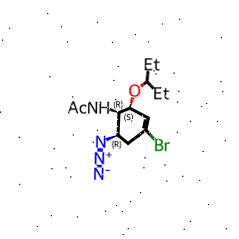 CCC(CC)O[C@H]1C=C(Br)C[C@@H](N=[N+]=[N-])[C@H]1NC(C)=O